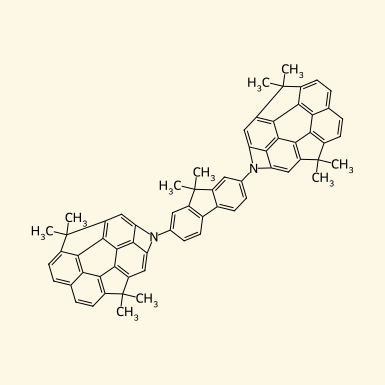 CC1(C)c2cc(N3c4cc5c6c7c(ccc8ccc9c(c%10c(cc3c4c6%10)C9(C)C)c87)C5(C)C)ccc2-c2ccc(N3c4cc5c6c7c(ccc8ccc9c(c%10c(cc3c4c6%10)C9(C)C)c87)C5(C)C)cc21